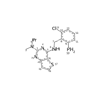 CC(C)N(C)c1nc(NCc2c(P)cccc2Cl)c2sccc2n1